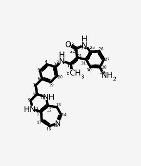 C/C(Nc1ccc(CC2CNC3=C(CC=NC=C3)N2)cc1)=C1/C(=O)Nc2ccc(N)cc21